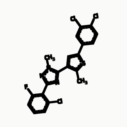 Cc1sc(-c2ccc(Cl)c(Cl)c2)cc1-c1nc(-c2c(F)cccc2Cl)nn1C